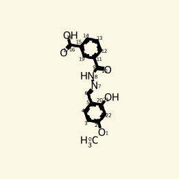 COc1ccc(/C=N/NC(=O)c2cccc(C(=O)O)c2)c(O)c1